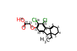 CCC12CCCC=C1c1c(cc(OCC(=O)O)c(Cl)c1Cl)C2